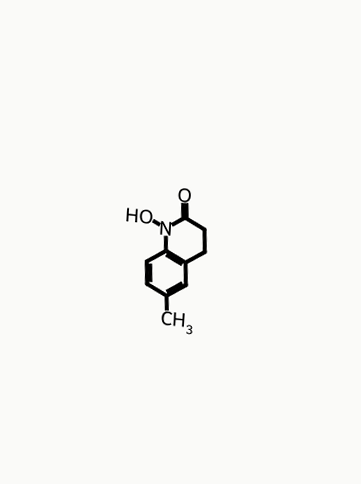 Cc1ccc2c(c1)CCC(=O)N2O